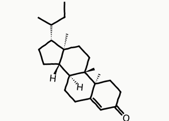 CCC(C)[C@H]1CC[C@H]2[C@@H]3CCC4=CC(=O)CC[C@]4(C)[C@@]3(C)CC[C@]12C